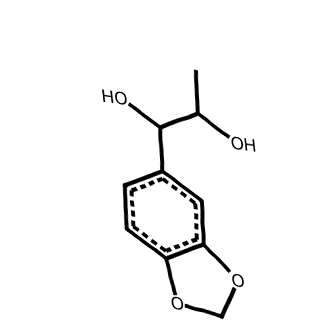 CC(O)C(O)c1ccc2c(c1)OCO2